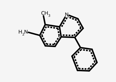 Cc1c(N)ccc2c(-c3ccccc3)ccnc12